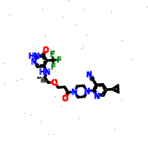 C[C@@H](COCCC(=O)N1CCN(c2ncc(C3CC3)cc2C#N)CC1)Nc1cn[nH]c(=O)c1C(F)(F)F